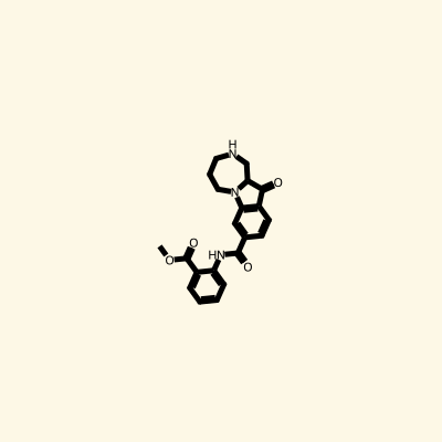 COC(=O)c1ccccc1NC(=O)c1ccc2c(c1)N1CCCNCC1C2=O